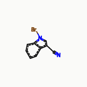 N#Cc1cn(Br)c2ccccc12